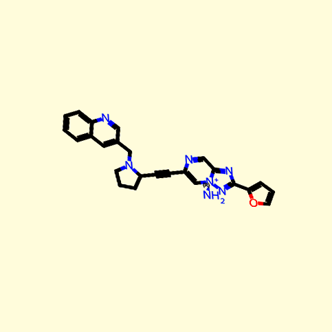 N[N@@+]12C=C(C#CC3CCCN3Cc3cnc4ccccc4c3)N=CC1=NC(c1ccco1)=N2